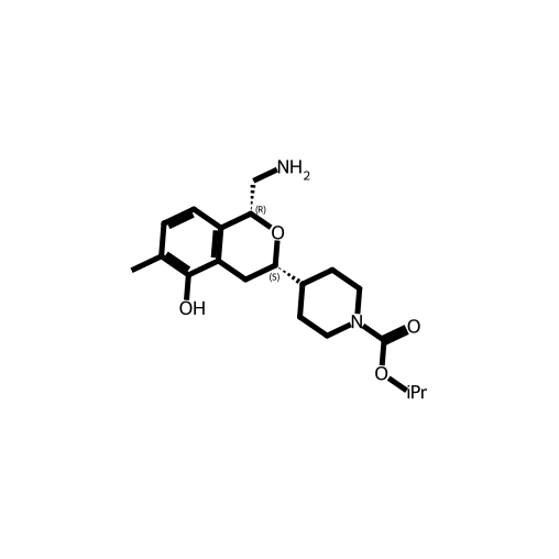 Cc1ccc2c(c1O)C[C@@H](C1CCN(C(=O)OC(C)C)CC1)O[C@H]2CN